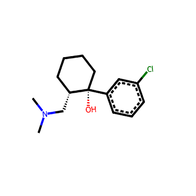 CN(C)C[C@@H]1CCCC[C@@]1(O)c1cccc(Cl)c1